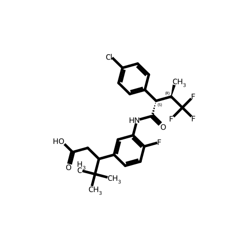 C[C@H]([C@H](C(=O)Nc1cc(C(CC(=O)O)C(C)(C)C)ccc1F)c1ccc(Cl)cc1)C(F)(F)F